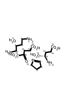 C1=NCCC1.NCCCCN.N[C@@H](CCC(=O)O)C(=O)O.O.O=C(O)CCC(=O)C(=O)O